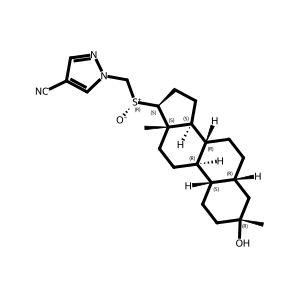 C[C@@]1(O)CC[C@H]2[C@H](CC[C@@H]3[C@@H]2CC[C@]2(C)[C@@H]([S@+]([O-])Cn4cc(C#N)cn4)CC[C@@H]32)C1